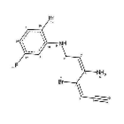 C#C/C=C(Br)\C(N)=C/CNc1cc(F)ccc1Br